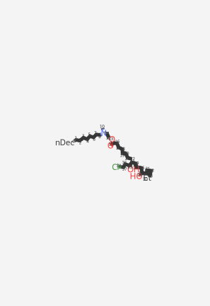 CCCCCCCCCCCCCCCCCCN(C)CCOC(=O)CCCC=CCC[C@H](C=CC[C@H](O)C1(CC)CCC1)[C@H](O)CCCl